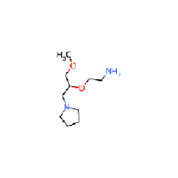 COCC(CN1CCCC1)OCCN